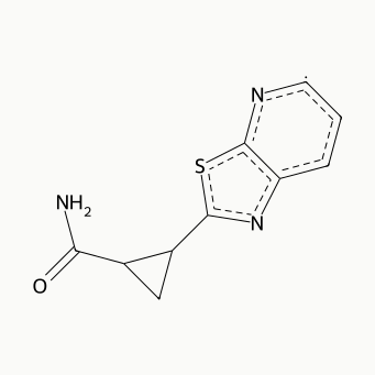 NC(=O)C1CC1c1nc2cc[c]nc2s1